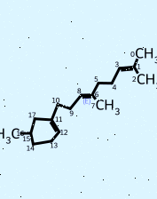 CC(C)=CCC/C(C)=C/CCC1=CCCC(C)C1